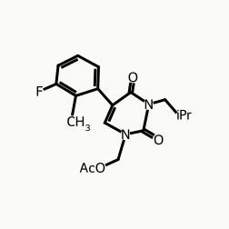 CC(=O)OCn1cc(-c2cccc(F)c2C)c(=O)n(CC(C)C)c1=O